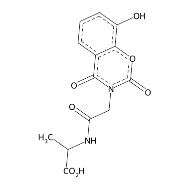 CC(NC(=O)Cn1c(=O)oc2c(O)cccc2c1=O)C(=O)O